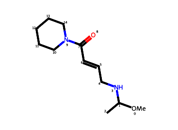 COC(C)NC/C=C/C(=O)N1CC[CH]CC1